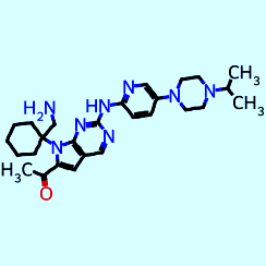 CC(=O)c1cc2cnc(Nc3ccc(N4CCN(C(C)C)CC4)cn3)nc2n1C1(CN)CCCCC1